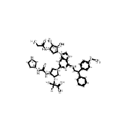 CCC(=O)N[C@H]1C[C@@H](n2cnc3c(NCC(c4ccccc4)c4ccc(OC)cc4)nc(N4CC[C@@H](NC(=O)N[C@@H]5CCNC5)C4)nc32)[C@H](O)[C@@H]1O.O=C(O)C(F)(F)F